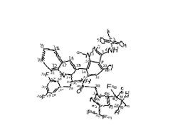 Cn1nc(NS(C)(=O)=O)c2c(Cl)ccc(-c3cc4ccccc4nc3[C@H](Cc3cc(F)cc(F)c3)NC(=O)Cn3nc(C(F)F)c4c3C(F)(F)[C@@H]3C[C@H]43)c21